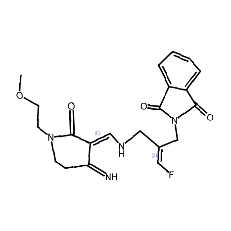 COCCN1CCC(=N)/C(=C\NC/C(=C/F)CN2C(=O)c3ccccc3C2=O)C1=O